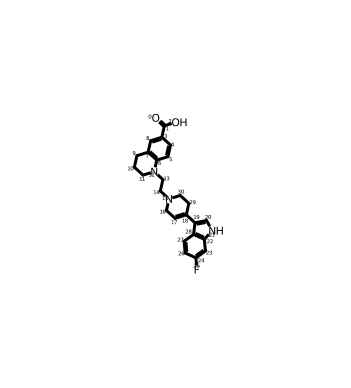 O=C(O)c1ccc2c(c1)CCCN2CCN1CC=C(c2c[nH]c3cc(F)ccc23)CC1